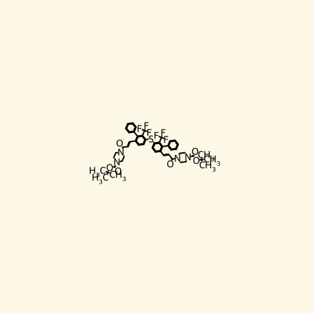 CC(C)(C)OC(=O)N1CCN(C(=O)/C=C/c2ccc(Sc3ccc(/C=C/C(=O)N4CCN(C(=O)OC(C)(C)C)CC4)c(-c4ccccc4)c3C(F)(F)F)c(C(F)(F)F)c2-c2ccccc2)CC1